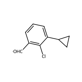 O=[C]c1cccc(C2CC2)c1Cl